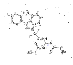 Cc1ccc(-c2nn(C(C)(C)CN/C(=N/C(=O)OC(C)(C)C)NC(=O)OC(C)(C)C)c3ncnc(N)c23)cc1